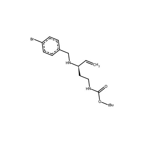 C=C[C@@H](CCNC(=O)OC(C)(C)C)NCc1ccc(Br)cc1